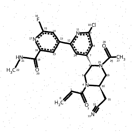 C=CC(=O)N1C[C@H](c2cc(Cl)nc(-c3cc(F)nc(C(=O)NC)c3)c2)N(C(C)=O)C[C@H]1CC#N